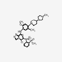 COc1cc(N2CCC(N3CCN(C)CC3)CC2)c(C)cc1Nc1nc(Nc2ccccc2P(C)(C)=O)c(Cl)n2cnnc12